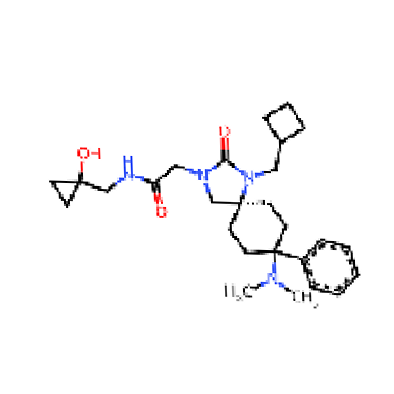 CN(C)[C@]1(c2ccccc2)CC[C@]2(CC1)CN(CC(=O)NCC1(O)CC1)C(=O)N2CC1CCC1